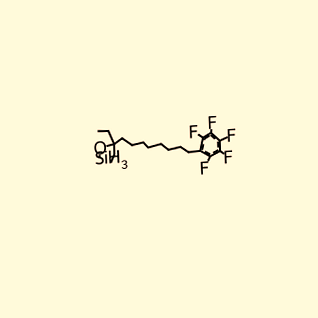 CCC(CC)(CCCCCCCCc1c(F)c(F)c(F)c(F)c1F)O[SiH3]